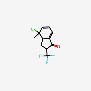 CC1(Cl)C=CC=C2C(=O)C(C(F)(F)F)CC21